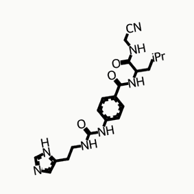 CC(C)CC(NC(=O)c1ccc(NC(=O)NCCc2cnc[nH]2)cc1)C(=O)NCC#N